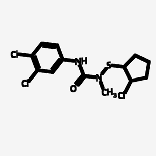 CN(SC1CCCC1Cl)C(=O)Nc1ccc(Cl)c(Cl)c1